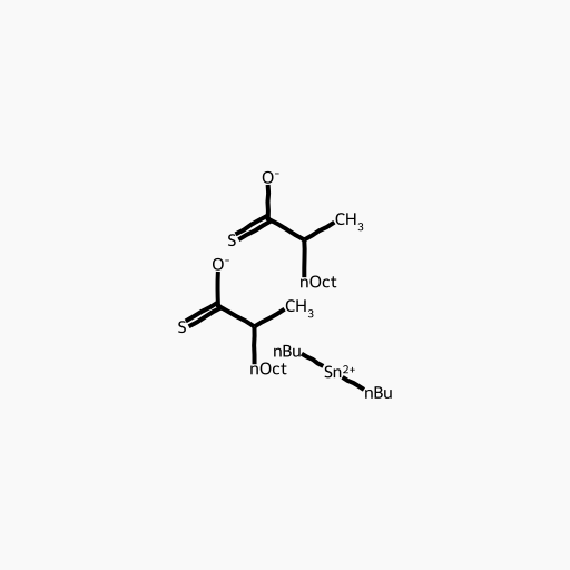 CCCCCCCCC(C)C([O-])=S.CCCCCCCCC(C)C([O-])=S.CCC[CH2][Sn+2][CH2]CCC